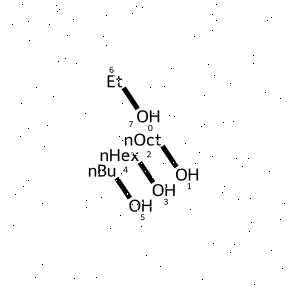 CCCCCCCCO.CCCCCCO.CCCCO.CCO